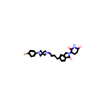 O=C1CCC(N2Cc3cc(CCCCN4CC5(C4)CN(c4ccc(Br)cc4)C5)ccc3C2=O)C(=O)N1